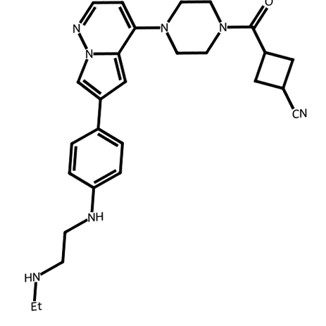 CCNCCNc1ccc(-c2cc3c(N4CCN(C(=O)C5CC(C#N)C5)CC4)ccnn3c2)cc1